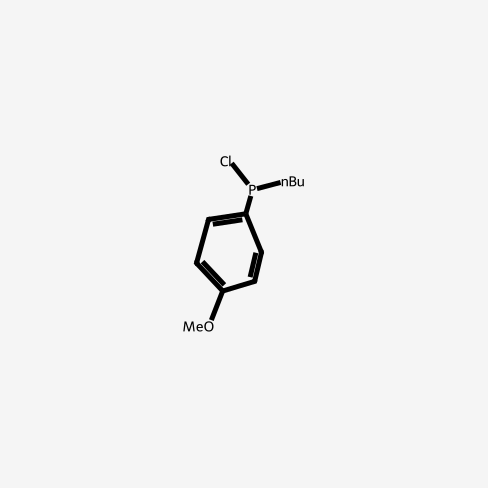 CCCCP(Cl)c1ccc(OC)cc1